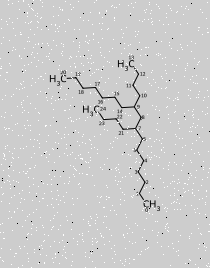 CCCCCCCC([CH]C(CCCC)CCCCCCC)CCCC